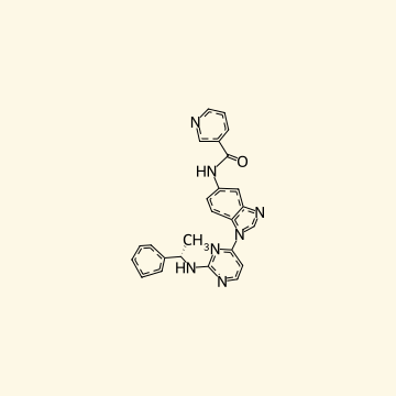 C[C@H](Nc1nccc(-n2cnc3cc(NC(=O)c4cccnc4)ccc32)n1)c1ccccc1